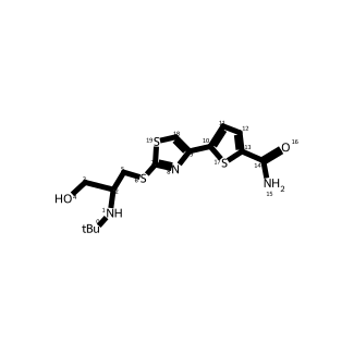 CC(C)(C)NC(CO)CSc1nc(-c2ccc(C(N)=O)s2)cs1